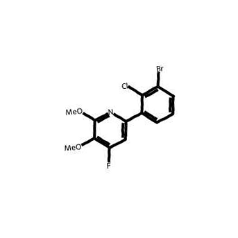 COc1nc(-c2cccc(Br)c2Cl)cc(F)c1OC